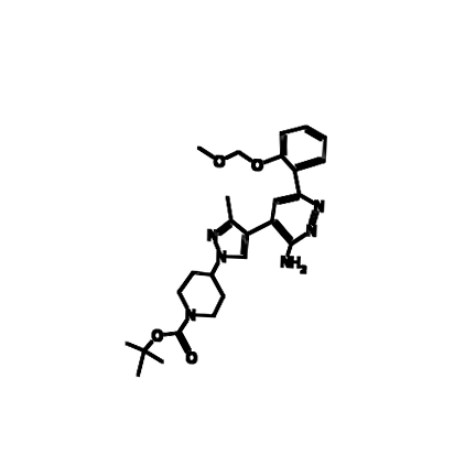 COCOc1ccccc1-c1cc(-c2cn(C3CCN(C(=O)OC(C)(C)C)CC3)nc2C)c(N)nn1